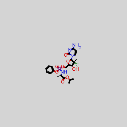 CC(C)OC(=O)[C@@H](C)NP(=O)(OCC1O[C@@H](n2ccc(N)nc2=O)[C@](C)(Cl)[C@@H]1O)Oc1ccccc1